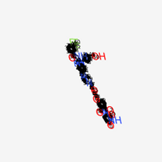 O=C1CCC(N2C(=O)c3ccc(OCCOCCN4CCN(Cc5ccc6c(c5)nc(NC(=O)c5cccc(C(F)(F)F)c5)n6[C@H]5CC[C@@H](CO)CC5)CC4)cc3C2=O)C(=O)N1